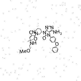 COCCNC(C)(C)/C=C(/C#N)C(=O)N1CCC[C@H](n2c(=O)n(-c3ccc(Oc4ccccc4)cc3)c3c(N)ncnc32)C1